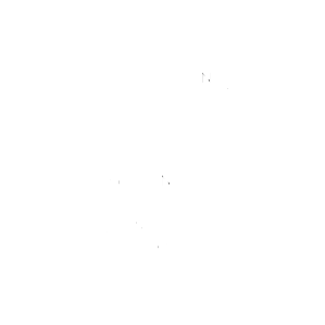 CS(=O)(=O)N1CC[C@@H](N)C1